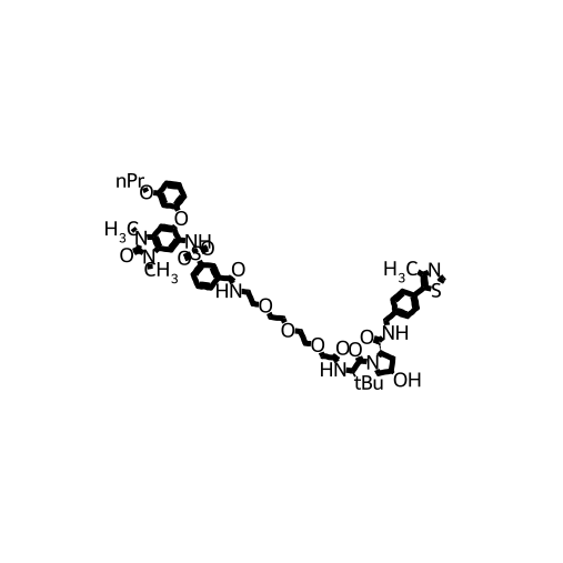 CCCOc1cccc(Oc2cc3c(cc2NS(=O)(=O)c2cccc(C(=O)NCCOCCOCCOCC(=O)N[C@H](C(=O)N4C[C@H](O)C[C@H]4C(=O)NCc4ccc(-c5scnc5C)cc4)C(C)(C)C)c2)n(C)c(=O)n3C)c1